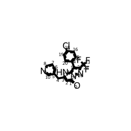 O=c1cc(Cc2cccnc2)[nH]c2c(-c3ccc(Cl)cc3)c(C(F)(F)F)nn12